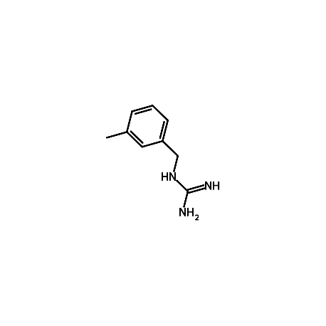 Cc1cccc(CNC(=N)N)c1